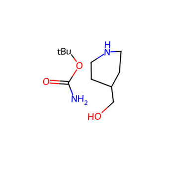 CC(C)(C)OC(N)=O.OCC1CCNCC1